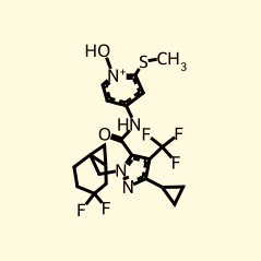 CSc1cc(NC(=O)c2c(C(F)(F)F)c(C3CC3)nn2CC23CCC(F)(F)CC2C3)cc[n+]1O